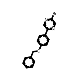 Brc1cnc(-c2ccc(OCc3ccccc3)cc2)cn1